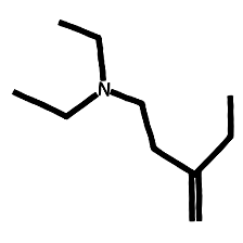 C=C(CC)CCN(CC)CC